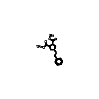 CC(C)(C)OC(=O)C1CC(SCc2ccccc2)CC1C(=O)OC(C)(C)C